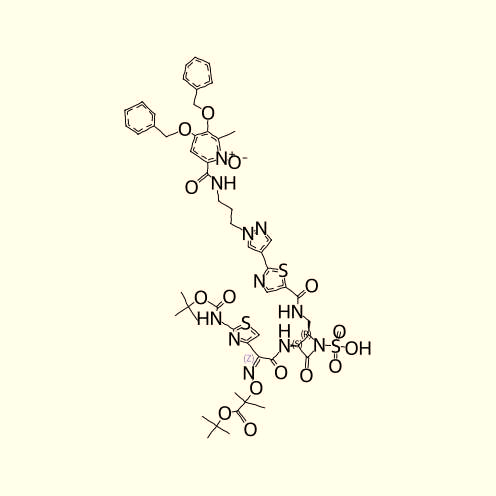 Cc1c(OCc2ccccc2)c(OCc2ccccc2)cc(C(=O)NCCCn2cc(-c3ncc(C(=O)NC[C@@H]4[C@H](NC(=O)/C(=N\OC(C)(C)C(=O)OC(C)(C)C)c5csc(NC(=O)OC(C)(C)C)n5)C(=O)N4S(=O)(=O)O)s3)cn2)[n+]1[O-]